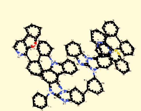 c1ccc(-n2c3ccc4c(c5ccccc5n4-c4ccccc4-c4ccccc4-c4nccc5c4oc4ccccc45)c3n3c4cc(-c5cccc(-n6c7ccc8c(c9ccccc9n8-c8ccccc8-c8ccccc8-c8nccc9c8sc8ccccc89)c7n7c8ccccc8nc67)c5)ccc4nc23)cc1